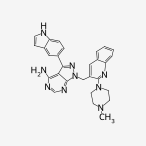 CN1CCN(c2nc3ccccc3cc2Cn2nc(-c3ccc4[nH]ccc4c3)c3c(N)ncnc32)CC1